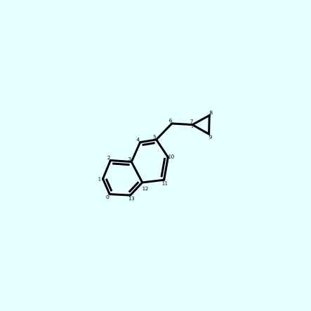 c1ccc2cc(C[C]3CC3)ccc2c1